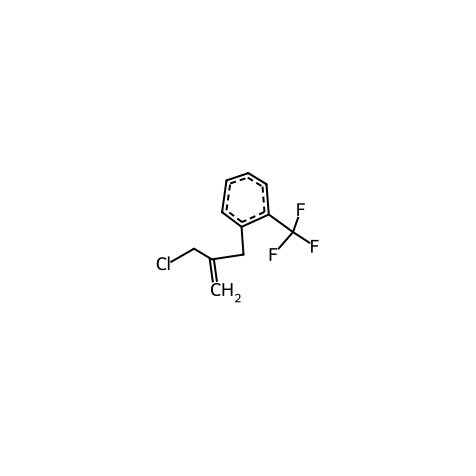 C=C(CCl)Cc1ccccc1C(F)(F)F